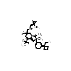 C=C1N2CC(C)(CNCC3(C)CC3)C[C@H](C(C)(F)F)C2=C[N+]1(C)C1=CCCC(C2(CC(C)C)CCC2)C1